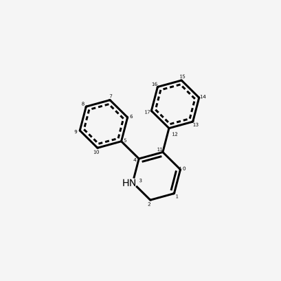 [C]1=CCNC(c2ccccc2)=C1c1ccccc1